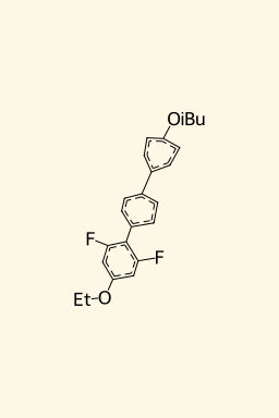 CCOc1cc(F)c(-c2ccc(-c3ccc(OCC(C)C)cc3)cc2)c(F)c1